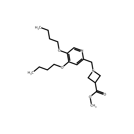 CCCCOc1cnc(CN2CC(C(=O)OC)C2)cc1OCCCC